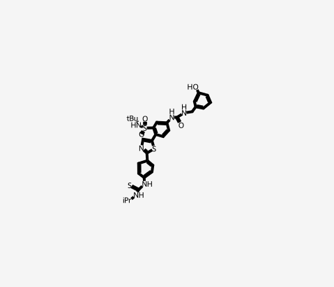 CC(C)NC(=S)Nc1ccc(-c2ncc(-c3ccc(NC(=O)NCc4cccc(O)c4)cc3S(=O)(=O)NC(C)(C)C)s2)cc1